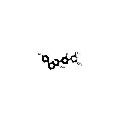 COc1c(-c2ccc(N3C[C@@H](C)O[C@@H](C)C3)c(F)c2)cnc2c(-c3ccc(C#N)cc3)cccc12